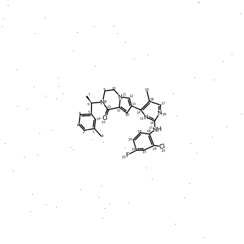 Cc1cccc([C@@H](C)N2CCn3cc(-c4nc(Nc5ccc(F)cc5Cl)ncc4C)cc3C2=O)c1